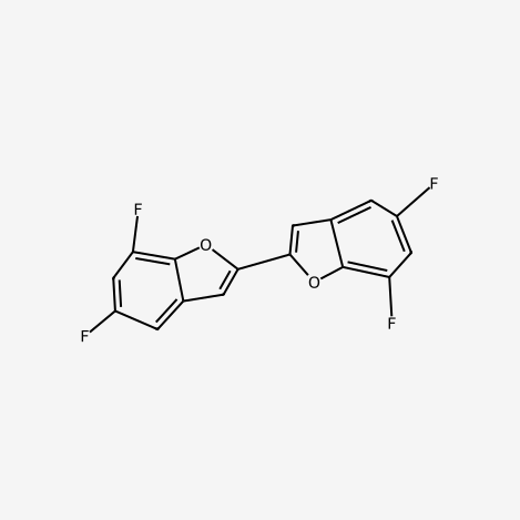 Fc1cc(F)c2oc(-c3cc4cc(F)cc(F)c4o3)cc2c1